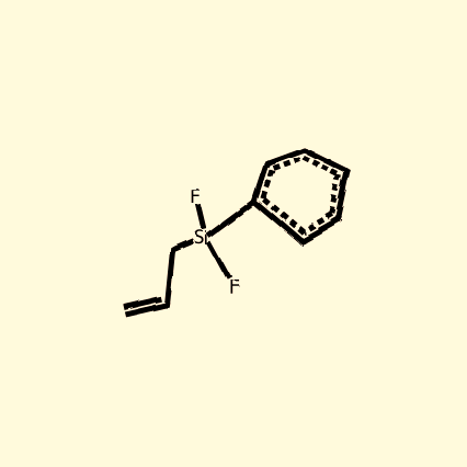 C=CC[Si](F)(F)c1ccccc1